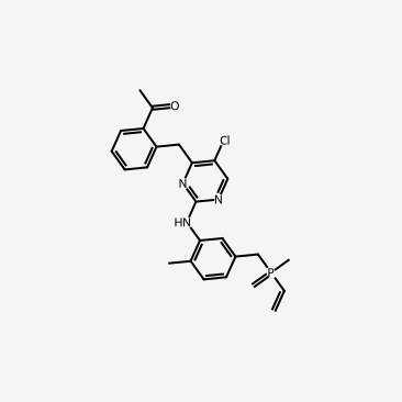 C=CP(=C)(C)Cc1ccc(C)c(Nc2ncc(Cl)c(Cc3ccccc3C(C)=O)n2)c1